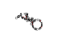 CC1(C)CCC(CN2CCN(c3ccc(C(=O)NS(=O)(=O)c4ccc(NCC5CCCCCCCCCCCCCCCCCCCCCCCCCCCCCC56CCCOC6)c([N+](=O)[O-])c4)c(Oc4cnc5[nH]ccc5c4)c3)CC2)=C(c2ccc(Cl)cc2)C1